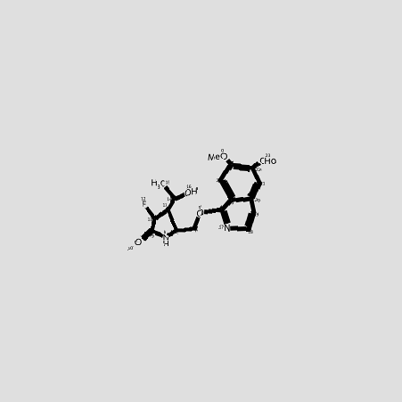 COc1cc2c(OCC3NC(=O)C(F)C3C(C)O)nccc2cc1C=O